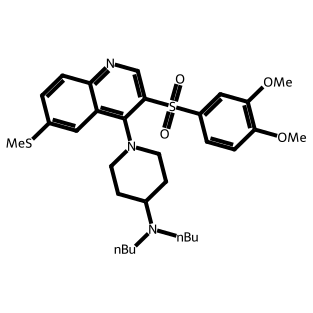 CCCCN(CCCC)C1CCN(c2c(S(=O)(=O)c3ccc(OC)c(OC)c3)cnc3ccc(SC)cc23)CC1